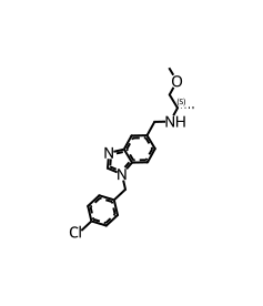 COC[C@H](C)NCc1ccc2c(c1)ncn2Cc1ccc(Cl)cc1